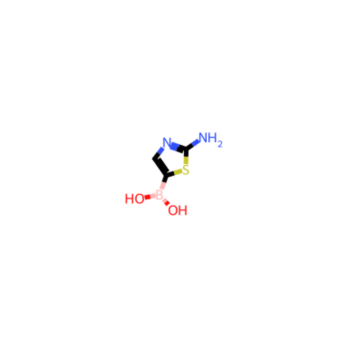 Nc1ncc(B(O)O)s1